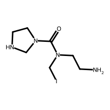 NCCN(CI)C(=O)N1CCNC1